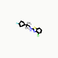 CC(C)(CNc1nc2c(Cl)cccc2s1)c1ccc(F)cc1